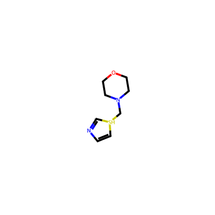 [C]1=NC=C[SH]1CN1CCOCC1